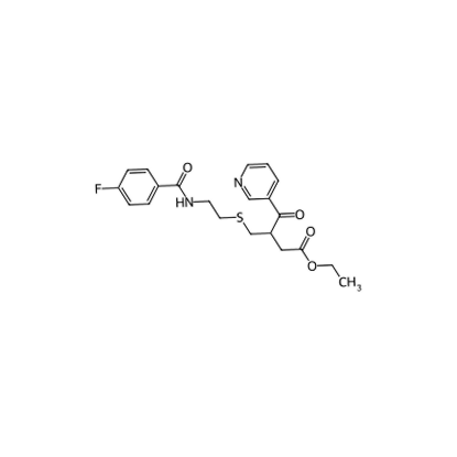 CCOC(=O)CC(CSCCNC(=O)c1ccc(F)cc1)C(=O)c1cccnc1